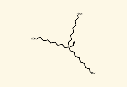 C=C[Si](CCCCCCCCCCCCCCCCCC)(CCCCCCCCCCCCCCCCCC)CCCCCCCCCCCCCCCCCC